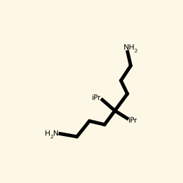 CC(C)C(CCCN)(CCCN)C(C)C